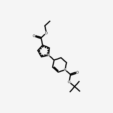 CCOC(=O)c1ccn(C2C=CN(C(=O)OC(C)(C)C)CC2)c1